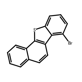 Brc1cccc2sc3c4ccccc4ccc3c12